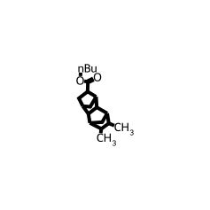 CCCCOC(=O)C1CC2CC1C1C3CC(C(C)C3C)C21